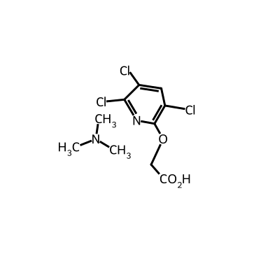 CN(C)C.O=C(O)COc1nc(Cl)c(Cl)cc1Cl